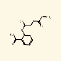 COC(=O)CCC(C)Oc1ccccc1C(C)=O